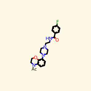 CC(=O)N1CCOc2c(N3CCN(CCNC(=O)c4ccc(F)cc4)CC3)cccc21